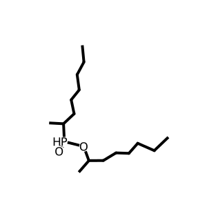 CCCCCCC(C)O[PH](=O)C(C)CCCCCC